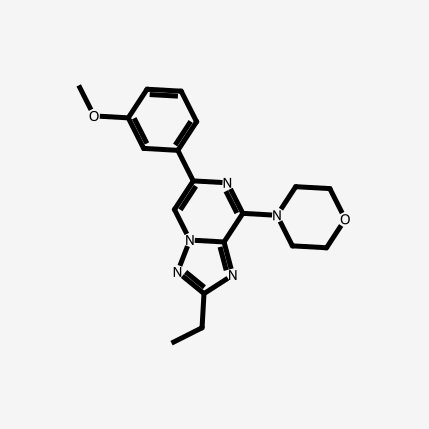 CCc1nc2c(N3CCOCC3)nc(-c3cccc(OC)c3)cn2n1